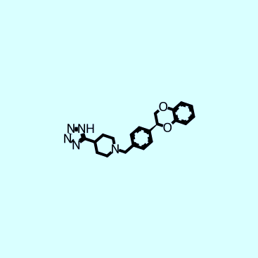 c1ccc2c(c1)OC[C@H](c1ccc(CN3CCC(c4nnn[nH]4)CC3)cc1)O2